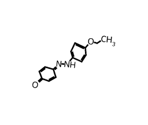 CCOc1ccc(NN=C2C=CC(=O)C=C2)cc1